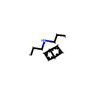 CCCNCCC.c1cc2ccc1-2